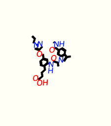 CCCn1cc(OCc2ccc(CCCC(=O)O)c(NC(=O)C(C)n3cc(C)c4ccc(C(=O)NC)cc43)c2)cn1